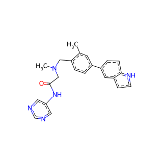 Cc1cc(-c2ccc3[nH]ccc3c2)ccc1CN(C)CC(=O)Nc1cncnc1